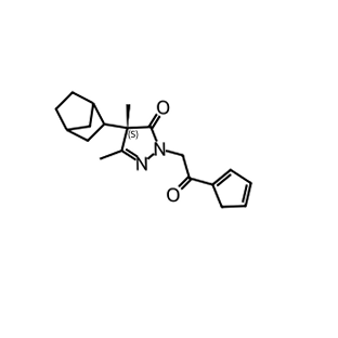 CC1=NN(CC(=O)C2=CC=CC2)C(=O)[C@@]1(C)C1CC2CCC1C2